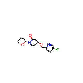 O=c1cc(OCc2ccc(F)cn2)ccn1C1CCCCO1